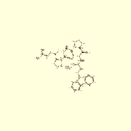 N=C(N)NCCC[C@H](NC(=O)[C@@H]1CCCN1C(=O)CNC(=O)OCC1c2ccccc2-c2ccccc21)C(=O)N1CCC[C@H]1C(=O)O